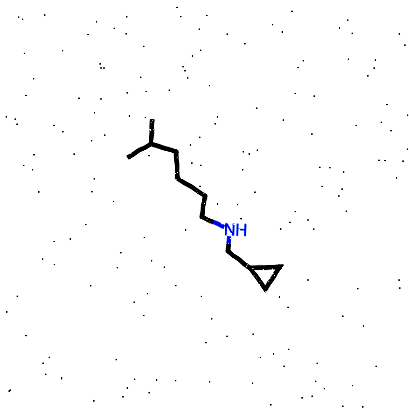 CC(C)CCCCNCC1CC1